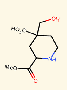 COC(=O)C1CC(CO)(C(=O)O)CCN1